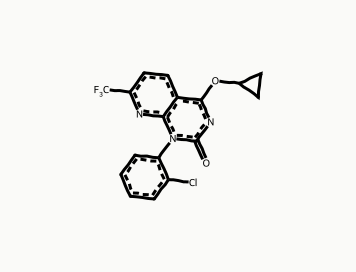 O=c1nc(OC2CC2)c2ccc(C(F)(F)F)nc2n1-c1ccccc1Cl